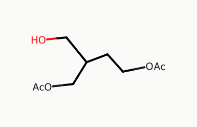 CC(=O)OCCC(CO)COC(C)=O